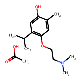 CC(=O)O.Cc1cc(OCCN(C)C)c(C(C)C)cc1O